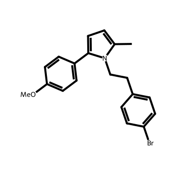 COc1ccc(-c2ccc(C)n2CCc2ccc(Br)cc2)cc1